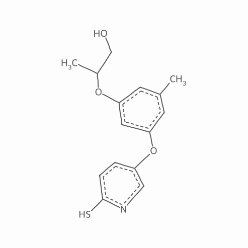 Cc1cc(Oc2ccc(S)nc2)cc(OC(C)CO)c1